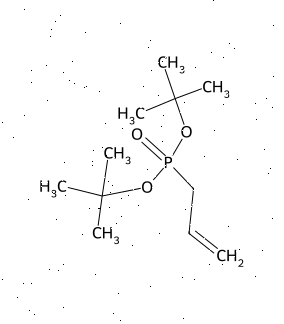 C=CCP(=O)(OC(C)(C)C)OC(C)(C)C